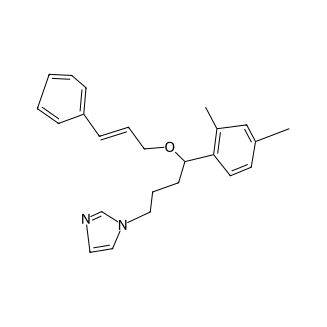 Cc1ccc(C(CCCn2ccnc2)OCC=Cc2ccccc2)c(C)c1